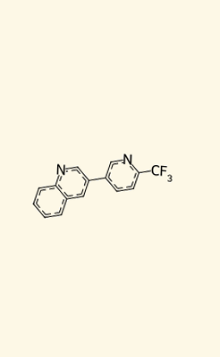 FC(F)(F)c1ccc(-c2cnc3ccccc3c2)cn1